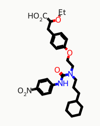 CCOC(Cc1ccc(OCCN(CCCC2CCCCC2)C(=O)Nc2ccc([N+](=O)[O-])cc2)cc1)C(=O)O